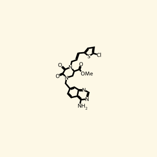 COC(=O)C1CN(Cc2ccc3c(N)ncnc3c2)C(=O)C(=O)N1CC=Cc1ccc(Cl)s1